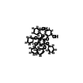 Oc1ccccc1ON1P(Oc2ccccc2O)N(Oc2ccccc2)P(Oc2ccccc2)N=P1(Oc1ccccc1)Oc1ccccc1